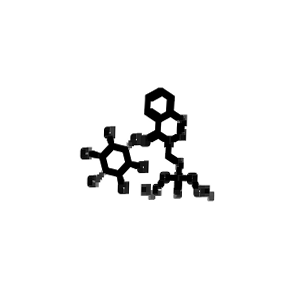 COP(=S)(OC)SCn1nnc2ccccc2c1=O.Cl[C@H]1[C@H](Cl)[C@@H](Cl)[C@@H](Cl)[C@H](Cl)[C@H]1Cl